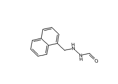 O=CNNCc1cccc2ccccc12